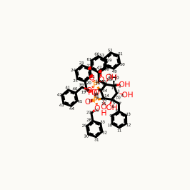 [2H][C@@]1(O)[C@H](O)[C@](O)(Cc2ccccc2)[C@@](O)(P(=O)(OCc2ccccc2)OCc2ccccc2)[C@](O)(P(=O)(OCc2ccccc2)OCc2ccccc2)[C@@]1(O)Cc1ccccc1